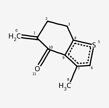 C=C1CCc2scc(C)c2C1=O